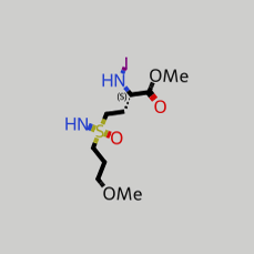 COCCCS(=N)(=O)CC[C@H](NI)C(=O)OC